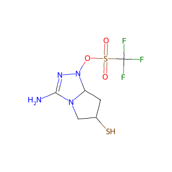 NC1=NN(OS(=O)(=O)C(F)(F)F)C2CC(S)CN12